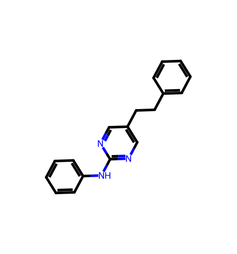 c1ccc(CCc2cnc(Nc3ccccc3)nc2)cc1